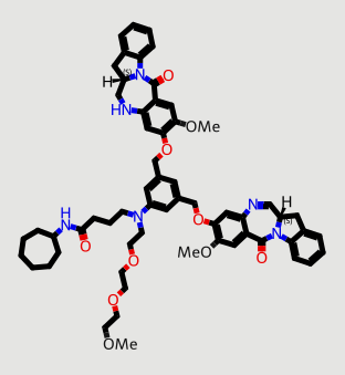 COCCOCCOCCN(CCCC(=O)NC1CCCCCC1)c1cc(COc2cc3c(cc2OC)C(=O)N2c4ccccc4C[C@H]2C=N3)cc(COc2cc3c(cc2OC)C(=O)N2c4ccccc4C[C@H]2CN3)c1